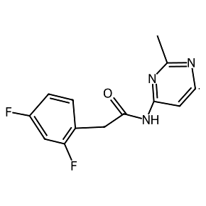 Cc1n[c]cc(NC(=O)Cc2ccc(F)cc2F)n1